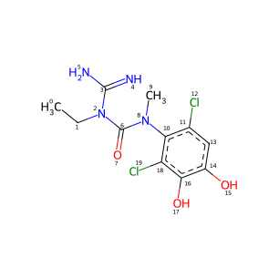 CCN(C(=N)N)C(=O)N(C)c1c(Cl)cc(O)c(O)c1Cl